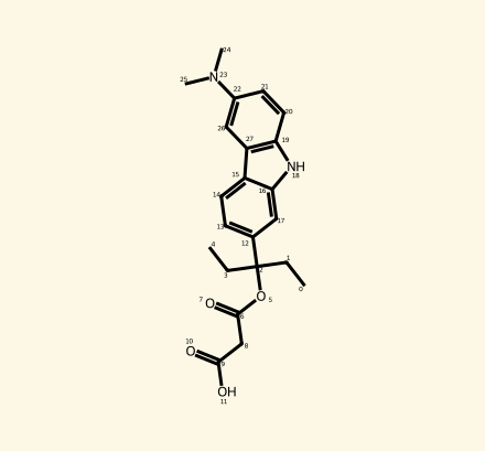 CCC(CC)(OC(=O)CC(=O)O)c1ccc2c(c1)[nH]c1ccc(N(C)C)cc12